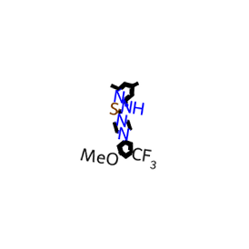 COc1cc(N2CCN(C(=S)Nc3cc(C)cc(C)n3)CC2)cc(C(F)(F)F)c1